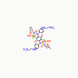 CCN(S(=O)(=O)O)S(=O)(=O)N(C1=C(Cl)C(=O)C(N(c2ccc(NCCN)cc2)S(=O)(=O)N(CC)S(=O)(=O)O)=C(Cl)C1=O)c1ccc(NCCN)cc1